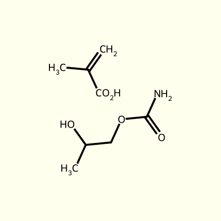 C=C(C)C(=O)O.CC(O)COC(N)=O